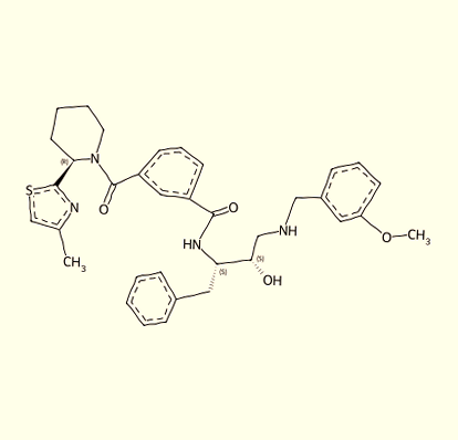 COc1cccc(CNC[C@H](O)[C@H](Cc2ccccc2)NC(=O)c2cccc(C(=O)N3CCCC[C@@H]3c3nc(C)cs3)c2)c1